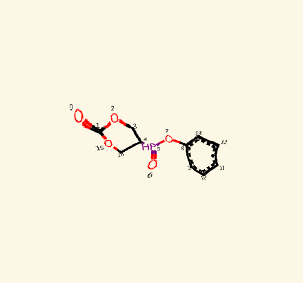 O=C1OCC([PH](=O)Oc2ccccc2)CO1